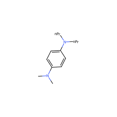 CCCN(CCC)c1ccc(N(C)C)cc1